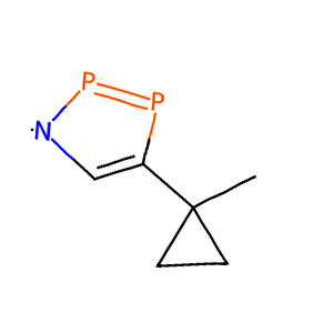 CC1(C2=C[N]P=P2)CC1